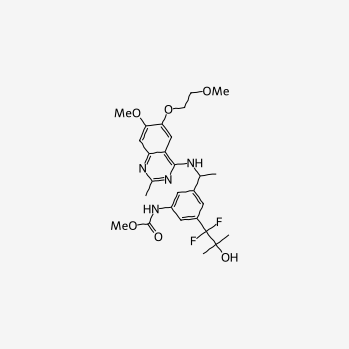 COCCOc1cc2c(NC(C)c3cc(NC(=O)OC)cc(C(F)(F)C(C)(C)O)c3)nc(C)nc2cc1OC